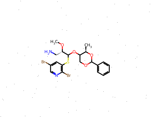 CO[C@@H](CN)C(OC1COC(c2ccccc2)O[C@@H]1C)Sc1cc(Br)cnc1Br